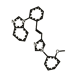 COc1ccccc1-n1cnc(/C=C/c2ccccc2-n2cnc3ccccc32)c1